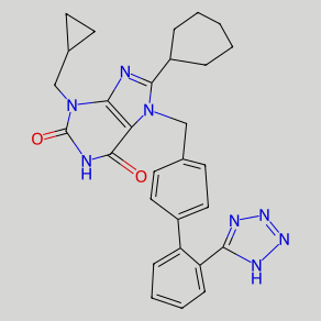 O=c1[nH]c(=O)n(CC2CC2)c2nc(C3CCCCC3)n(Cc3ccc(-c4ccccc4-c4nnn[nH]4)cc3)c12